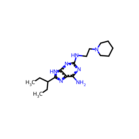 CCC(CC)c1nc2c(N)nc(NCCN3CCCCC3)nc2[nH]1